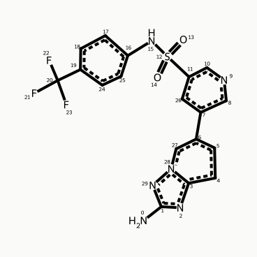 Nc1nc2ccc(-c3cncc(S(=O)(=O)Nc4ccc(C(F)(F)F)cc4)c3)cn2n1